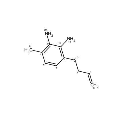 C=CCSc1ccc(C)c(N)c1N